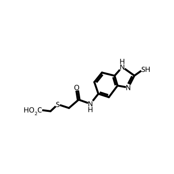 O=C(O)CSCC(=O)Nc1ccc2[nH]c(S)nc2c1